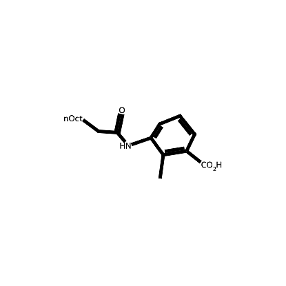 CCCCCCCCCC(=O)Nc1cccc(C(=O)O)c1C